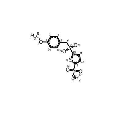 COc1ccc(CS(=O)(=O)c2ccc(S(N)(=O)=O)s2)cc1